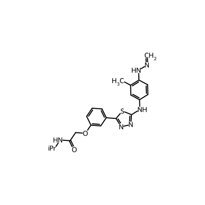 C=NNc1ccc(Nc2nnc(-c3cccc(OCC(=O)NC(C)C)c3)s2)cc1C